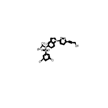 CC(C)(C)C(C(=O)O)N(c1ccc2c(ccn2-c2ccc(C#CCO)nn2)c1)S(=O)(=O)c1cc(Cl)cc(Cl)c1